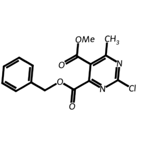 COC(=O)c1c(C)nc(Cl)nc1C(=O)OCc1ccccc1